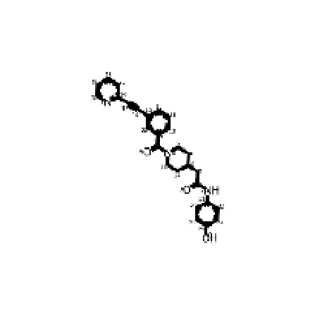 O=C(CC1CCN(C(=O)c2cccc(C#Cc3ccccn3)c2)CC1)Nc1ccc(O)cc1